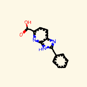 O=C(O)c1ccc2nc(-c3ccccc3)[nH]c2n1